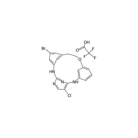 Clc1cnc2nc1Nc1cccc(c1)OCCc1cc(Br)cc(c1)N2.O=C(O)C(F)(F)F